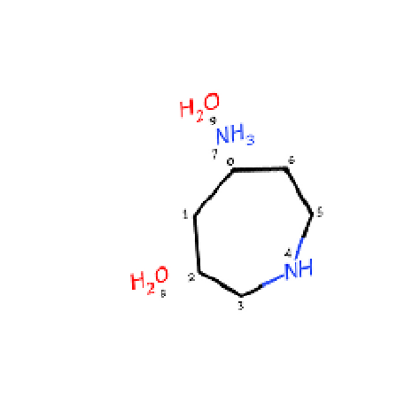 C1CCCNCC1.N.O.O